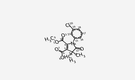 COC(=O)C1=C(C(=O)O)C(C)(C)C(=O)N1c1cccc(Cl)c1